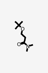 CN(C)C(=O)CCOC(C)(C)C